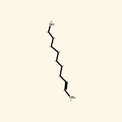 CCCCC=CCCCCCCC[NH]